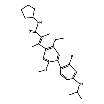 COc1cc(-c2ccc(NC(C)C)cc2F)c(OC)cc1/C(C)=C(\C)C(=O)NC1CCCC1